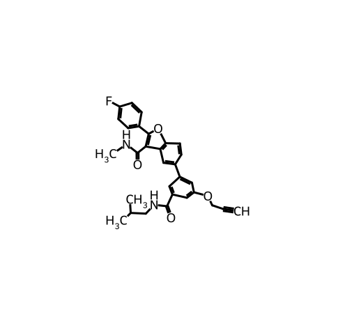 C#CCOc1cc(C(=O)NCC(C)C)cc(-c2ccc3oc(-c4ccc(F)cc4)c(C(=O)NC)c3c2)c1